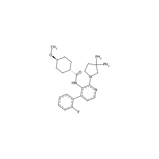 CO[C@H]1CC[C@H](C(=O)Nc2c(-c3ccccc3F)ccnc2N2CCC(P)(P)C2)CC1